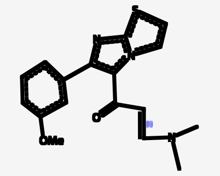 COc1cccc(-c2nc3sccn3c2C(=O)/C=C/N(C)C)c1